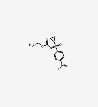 CCOC(=O)N=S(=O)(c1ccc([N+](=O)[O-])cc1)C1CC1